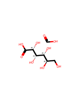 O=C(O)[C@H](O)[C@@H](O)[C@H](O)[C@H](O)CO.O=CO